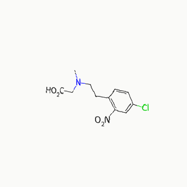 CN(CCc1ccc(Cl)cc1[N+](=O)[O-])CC(=O)O